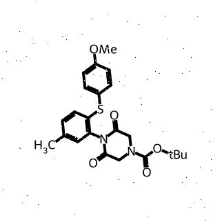 COc1ccc(Sc2ccc(C)cc2N2C(=O)CN(C(=O)OC(C)(C)C)CC2=O)cc1